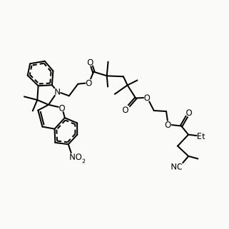 CCC(CC(C)C#N)C(=O)OCCOC(=O)C(C)(C)CC(C)(C)C(=O)OCCN1c2ccccc2C(C)(C)C12C=Cc1cc([N+](=O)[O-])ccc1O2